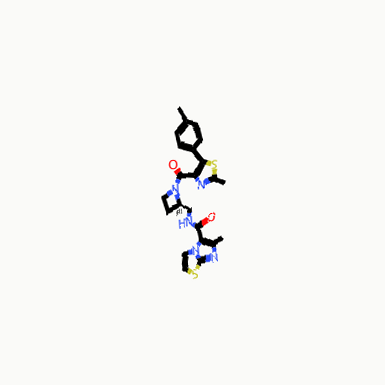 Cc1ccc(-c2sc(C)nc2C(=O)N2CC[C@@H]2CNC(=O)c2c(C)nc3sccn23)cc1